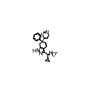 CON=C(c1n[nH]c2c1C=CC(c1ccccc1)(c1ccncn1)C2)C1CC1